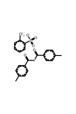 Cc1ccc(C(=O)[I+]C(=O)c2ccc(C)cc2)cc1.O=S(=O)([O-])c1ccccc1C(F)(F)F